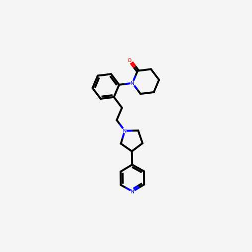 O=C1CCCCN1c1ccccc1CCN1CCC(c2ccncc2)C1